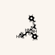 CC(CSCc1ccccc1)N=C(NCCCc1c[nH]cn1)NC(=O)c1ccccc1